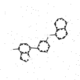 Brc1ccc(-c2cccc(Nc3cccc4ccccc34)c2)c2[nH]ccc12